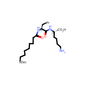 CCCCCCCCCCCCCCCCCC(=O)N[C@@H](CC(C)C)C(=O)N[C@@H](CCCCN)C(=O)O